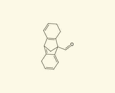 O=CC12CC(=C3CC=CC=C31)C1=C2CCC=C1